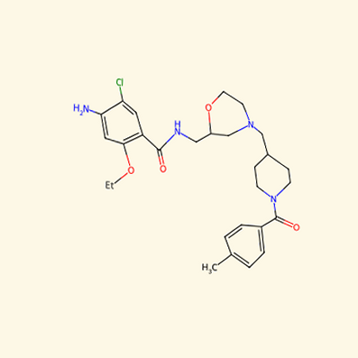 CCOc1cc(N)c(Cl)cc1C(=O)NCC1CN(CC2CCN(C(=O)c3ccc(C)cc3)CC2)CCO1